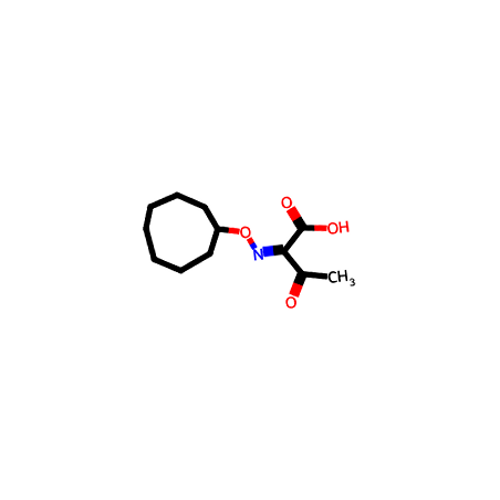 CC(=O)C(=NOC1CCCCCCC1)C(=O)O